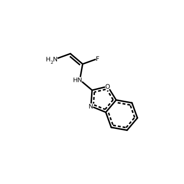 N/C=C(/F)Nc1nc2ccccc2o1